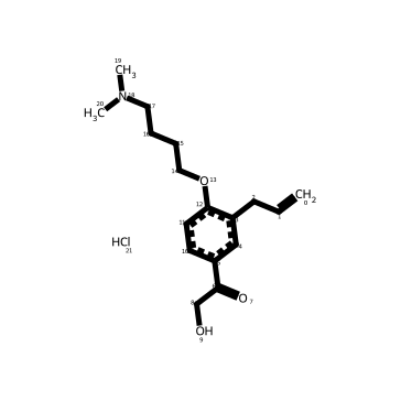 C=CCc1cc(C(=O)CO)ccc1OCCCCN(C)C.Cl